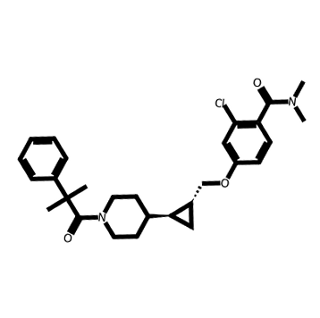 CN(C)C(=O)c1ccc(OC[C@@H]2C[C@H]2C2CCN(C(=O)C(C)(C)c3ccccc3)CC2)cc1Cl